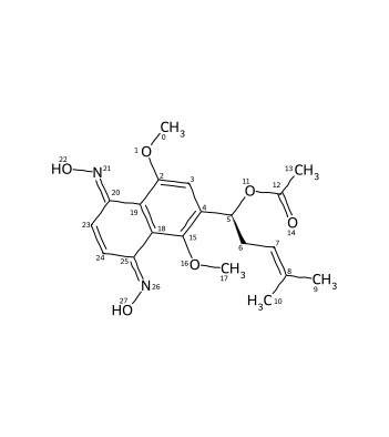 COc1cc([C@H](CC=C(C)C)OC(C)=O)c(OC)c2c1C(=NO)C=CC2=NO